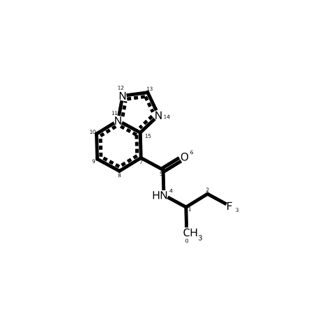 CC(CF)NC(=O)c1cccn2ncnc12